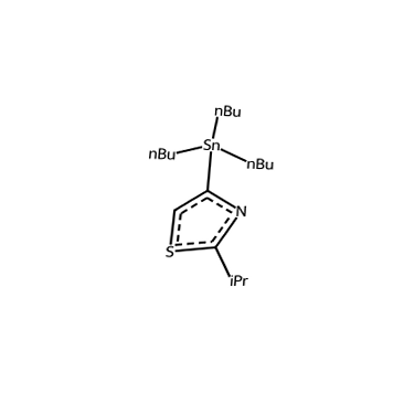 CCC[CH2][Sn]([CH2]CCC)([CH2]CCC)[c]1csc(C(C)C)n1